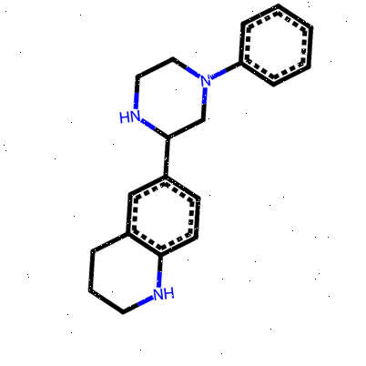 c1ccc(N2CCNC(c3ccc4c(c3)CCCN4)C2)cc1